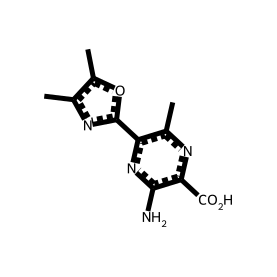 Cc1nc(C(=O)O)c(N)nc1-c1nc(C)c(C)o1